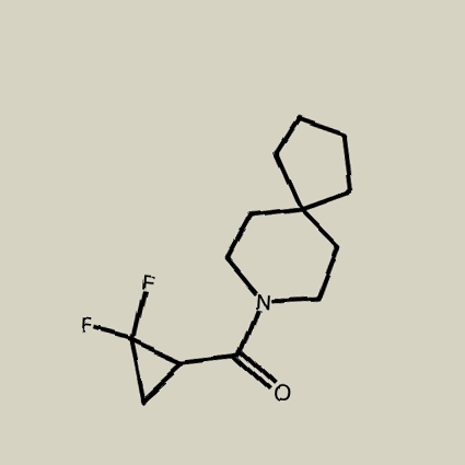 O=C(C1CC1(F)F)N1CCC2(CCCC2)CC1